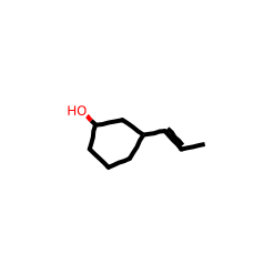 CC=CC1CCCC(O)C1